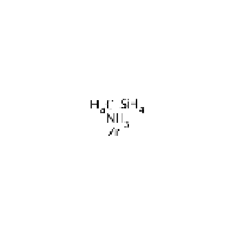 C.N.[SiH4].[Zr]